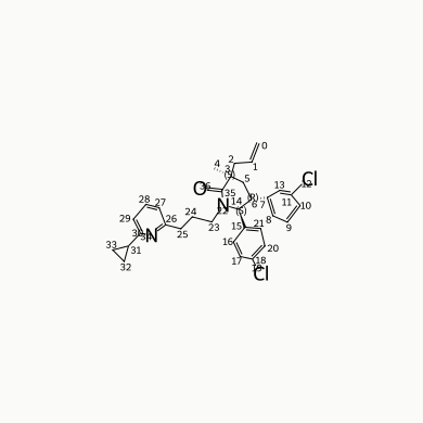 C=CC[C@@]1(C)C[C@H](c2cccc(Cl)c2)[C@@H](c2ccc(Cl)cc2)N(CCCc2cccc(C3CC3)n2)C1=O